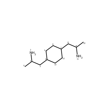 CC(N)CC1CCC(CC(C)N)CC1